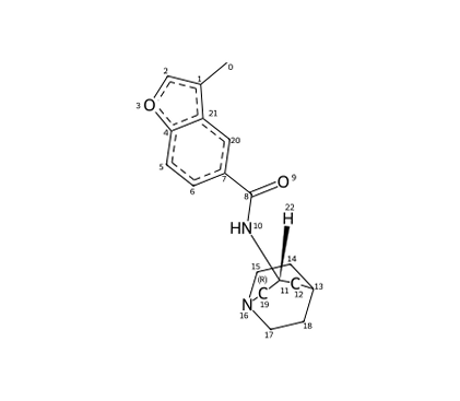 Cc1coc2ccc(C(=O)N[C@@H]3CC4CCN(CC4)C3)cc12